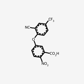 N#Cc1cc(C(F)(F)F)ccc1Oc1ccc([N+](=O)[O-])c(C(=O)O)c1